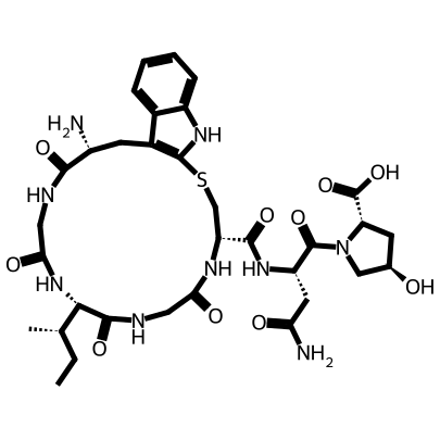 CC[C@H](C)[C@@H]1NC(=O)CNC(=O)[C@H](N)Cc2c([nH]c3ccccc23)SC[C@H](C(=O)N[C@@H](CC(N)=O)C(=O)N2C[C@H](O)C[C@H]2C(=O)O)NC(=O)CNC1=O